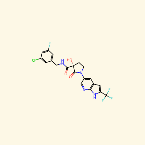 O=C(NCc1cc(F)cc(Cl)c1)[C@@]1(O)CCN(c2cnc3[nH]c(C(F)(F)F)cc3c2)C1=O